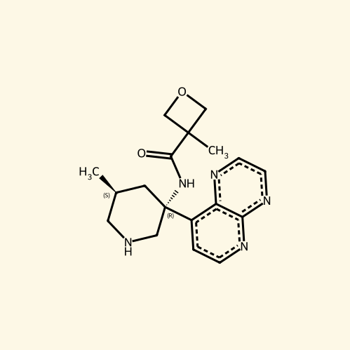 C[C@@H]1CNC[C@](NC(=O)C2(C)COC2)(c2ccnc3nccnc23)C1